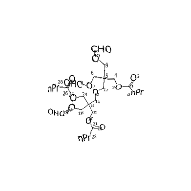 CCCC(=O)OCC(COC=O)(COC=O)COCC(COC=O)(COC(=O)CCC)COC(=O)CCC